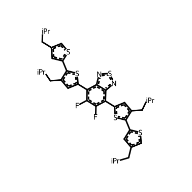 CC(C)Cc1csc(-c2sc(-c3c(F)c(F)c(-c4cc(CC(C)C)c(-c5cc(CC(C)C)cs5)s4)c4nsnc34)cc2CC(C)C)c1